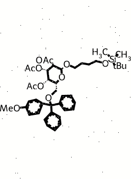 COc1ccc(C(OC[C@H]2O[C@@H](OCCCCO[Si](C)(C)C(C)(C)C)[C@H](OC(C)=O)[C@@H](OC(C)=O)[C@H]2OC(C)=O)(c2ccccc2)c2ccccc2)cc1